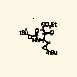 CCCCOC[C@@H](NC(=O)OC(C)(C)C)C(=O)CC(=O)OCC